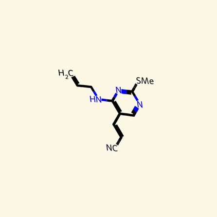 C=CCNc1nc(SC)ncc1C=CC#N